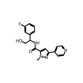 Cn1nc(-c2ccncc2)cc1C(=O)NC(CO)c1cccc(F)c1